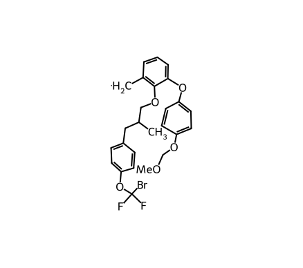 [CH2]c1cccc(Oc2ccc(OCOC)cc2)c1OCC(C)Cc1ccc(OC(F)(F)Br)cc1